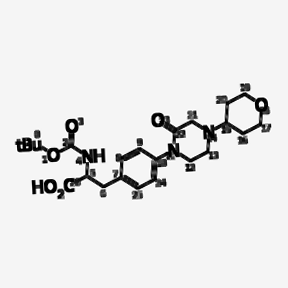 CC(C)(C)OC(=O)NC(Cc1ccc(N2CCN(C3CCOCC3)CC2=O)cc1)C(=O)O